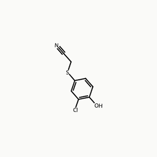 N#CCSc1ccc(O)c(Cl)c1